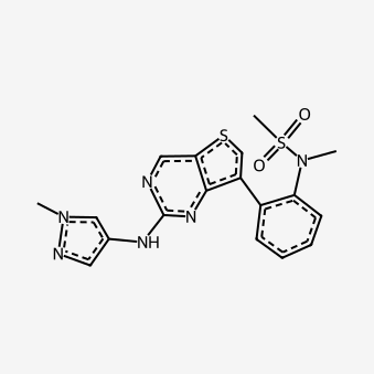 CN(c1ccccc1-c1csc2cnc(Nc3cnn(C)c3)nc12)S(C)(=O)=O